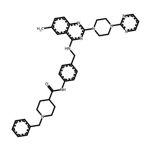 Cc1ccc2nc(N3CCN(c4ncccn4)CC3)nc(NCc3ccc(NC(=O)C4CCN(Cc5ccccc5)CC4)cc3)c2c1